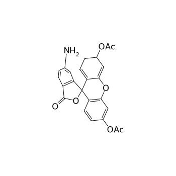 CC(=O)Oc1ccc2c(c1)OC1=CC(OC(C)=O)CC=C1C21OC(=O)c2ccc(N)cc21